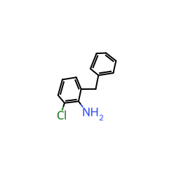 Nc1c(Cl)cccc1Cc1ccccc1